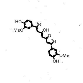 [2H]C(=CC(=O)C=C(O)C=C([2H])c1ccc(O)c(OC)c1)c1ccc(O)c(OC)c1